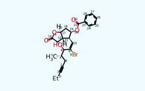 CCC#CC[C@H](C)C(O)/C(Br)=C\[C@H]1[C@@H]2CC(=O)O[C@H]2C[C@H]1OC(=O)c1ccccc1